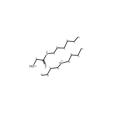 CCCCCCSC(=S)CO.CCC[CH2][Sn][CH2]CCC